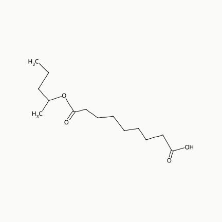 CCCC(C)OC(=O)CCCCCCCC(=O)O